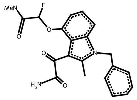 CNC(=O)C(F)Oc1cccc2c1c(C(=O)C(N)=O)c(C)n2Cc1ccccc1